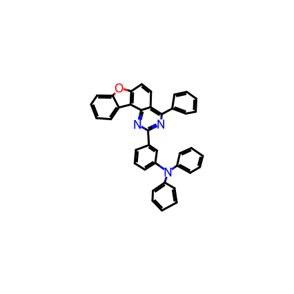 c1ccc(-c2nc(-c3cccc(N(c4ccccc4)c4ccccc4)c3)nc3c2ccc2oc4ccccc4c23)cc1